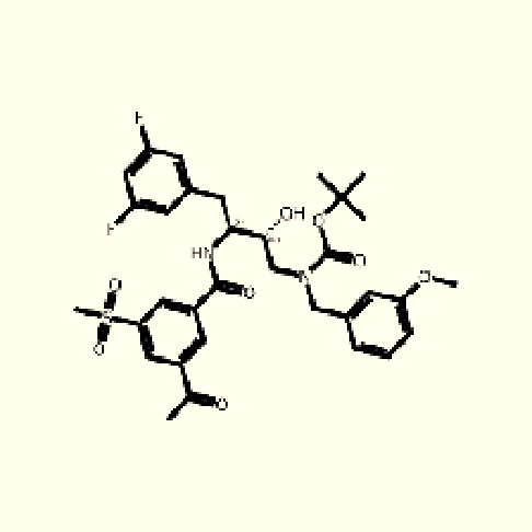 COc1cccc(CN(C[C@@H](O)[C@H](Cc2cc(F)cc(F)c2)NC(=O)c2cc(C(C)=O)cc(S(C)(=O)=O)c2)C(=O)OC(C)(C)C)c1